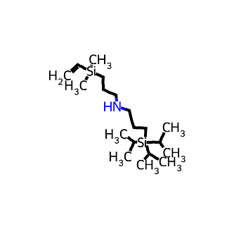 C=C[Si](C)(C)CCCNCCC[Si](C(C)C)(C(C)C)C(C)C